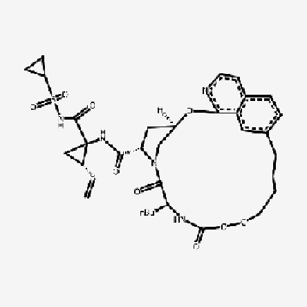 C=C[C@@H]1C[C@]1(NC(=O)[C@@H]1C[C@@H]2CN1C(=O)[C@H](CCCC)NC(=O)OCCCCCc1ccc3ccnc(c3c1)O2)C(=O)NS(=O)(=O)C1CC1